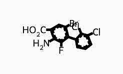 Nc1c(C(=O)O)cc(Br)c(-c2cccc(Cl)c2Cl)c1F